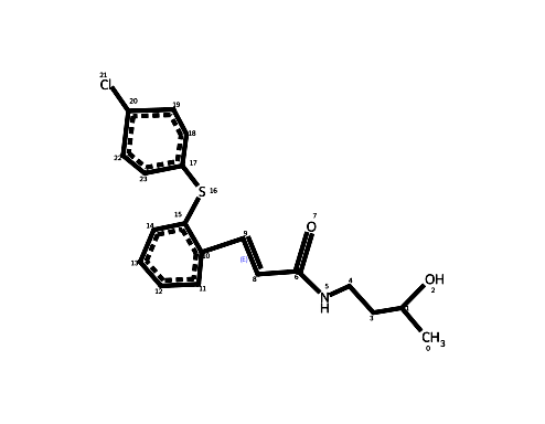 CC(O)CCNC(=O)/C=C/c1ccccc1Sc1ccc(Cl)cc1